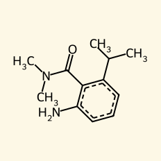 CC(C)c1cccc(N)c1C(=O)N(C)C